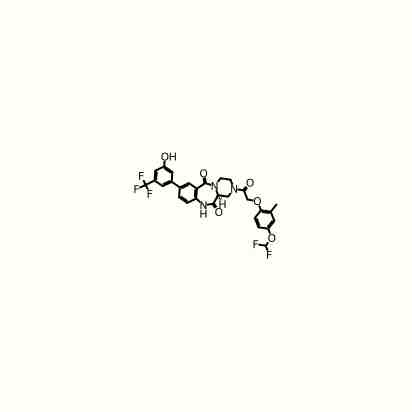 Cc1cc(OC(F)F)ccc1OCC(=O)N1CCN2C(=O)c3cc(-c4cc(O)cc(C(F)(F)F)c4)ccc3NC(=O)[C@@H]2C1